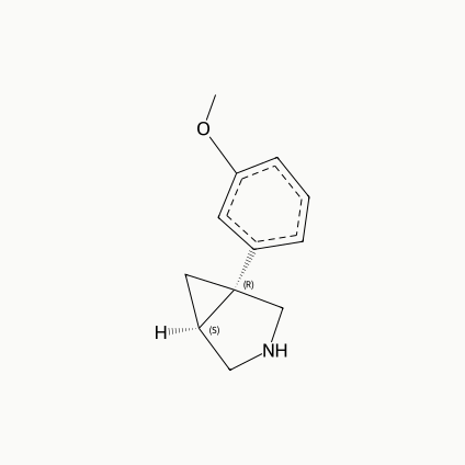 COc1cccc([C@]23CNC[C@H]2C3)c1